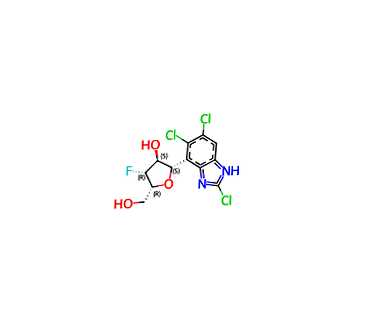 OC[C@H]1O[C@@H](c2c(Cl)c(Cl)cc3[nH]c(Cl)nc23)[C@H](O)[C@H]1F